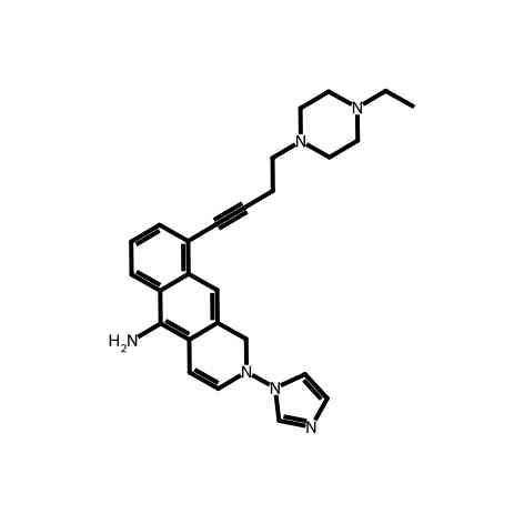 CCN1CCN(CCC#Cc2cccc3c(N)c4c(cc23)CN(n2ccnc2)C=C4)CC1